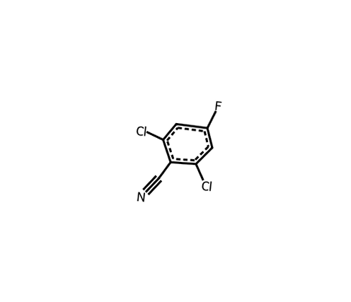 N#Cc1c(Cl)cc(F)cc1Cl